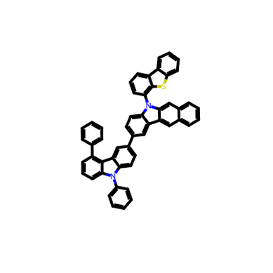 c1ccc(-c2cccc3c2c2cc(-c4ccc5c(c4)c4cc6ccccc6cc4n5-c4cccc5c4sc4ccccc45)ccc2n3-c2ccccc2)cc1